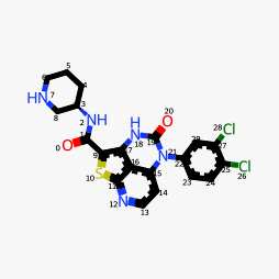 O=C(N[C@@H]1CCCNC1)c1sc2nccc3c2c1NC(=O)N3c1ccc(Cl)c(Cl)c1